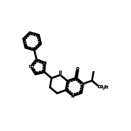 CCOC(=O)C(C)n1cnc2c(c1=O)NC(c1coc(-c3ccccc3)n1)CC2